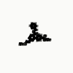 CO/C=C/C1CCN(C(=O)OCc2ccccc2)[C@H](c2ccc(C(=O)OC)cc2)C1